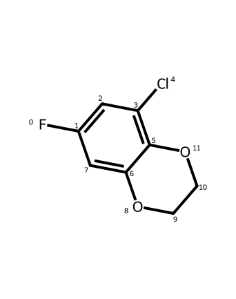 Fc1cc(Cl)c2c(c1)OCCO2